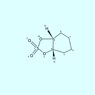 O=S1(=O)O[C@H]2CCCC[C@H]2O1